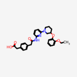 CCOc1ccccc1OC1CCCN(c2cccc(NC(=O)Cc3ccc(CC(=O)O)cc3)n2)C1